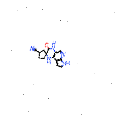 N#CC1CCC2(C1)Nc1c(cnc3[nH]ccc13)NC2=O